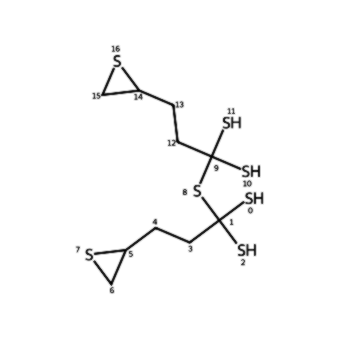 SC(S)(CCC1CS1)SC(S)(S)CCC1CS1